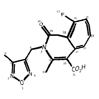 Cc1nonc1Cn1c(C)c(C(=O)O)c2cccc(F)c2c1=O